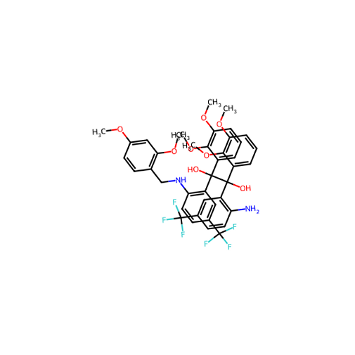 COc1ccc(CNc2ccc(C(F)(F)F)cc2C(O)(c2cccc(OC)c2OC)C(O)(c2cc(C(F)(F)F)ccc2N)c2cccc(OC)c2OC)c(OC)c1